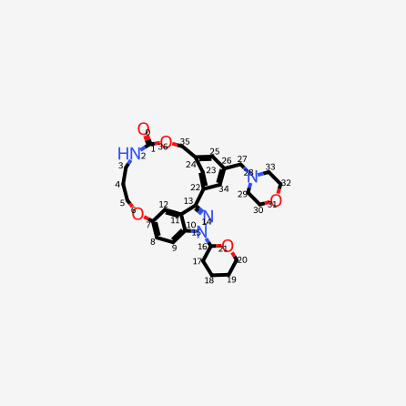 O=C1NCCCOc2ccc3c(c2)c(nn3C2CCCCO2)-c2cc(cc(CN3CCOCC3)c2)CO1